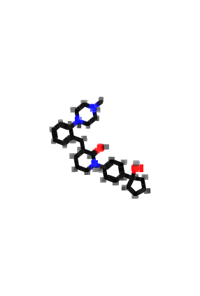 CN1CCN(c2ccccc2CC2CCCN(c3ccc(C4(O)CCCC4)cc3)C2=O)CC1